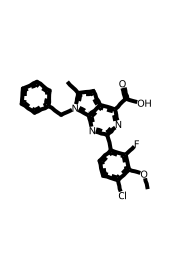 COc1c(Cl)ccc(-c2nc(C(=O)O)c3cc(C)n(Cc4ccccc4)c3n2)c1F